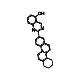 Oc1cccc2nc(-c3ccc4c(ccc5c6c(ccc54)CCCC6)c3)ncc12